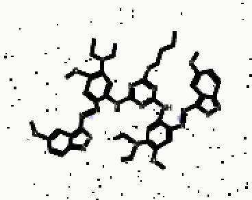 CCCCSc1nc(Nc2cc(N(CC)CC)c(OC)cc2/N=N/c2snc3ccc(OC)cc23)nc(Nc2cc(N(CC)CC)c(OC)cc2/N=N/c2snc3ccc(OC)cc23)n1